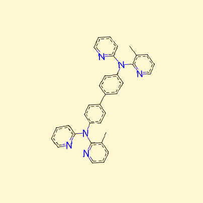 Cc1cccnc1N(c1ccc(-c2ccc(N(c3ccccn3)c3ncccc3C)cc2)cc1)c1ccccn1